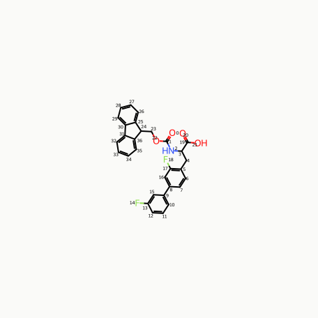 O=C(NC(Cc1ccc(-c2cccc(F)c2)cc1F)C(=O)O)OCC1c2ccccc2-c2ccccc21